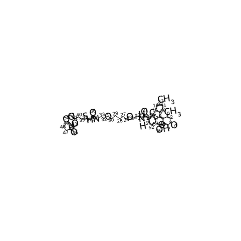 CC1=CC(=O)C=C/C1=C(/c1ccc(C)cc1C)c1cc(C(=O)NCCOCCCCCOCCNC(=O)CSCCC(=O)ON2C(=O)CCC2=O)ccc1C(=O)O